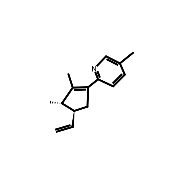 C=C[C@@H]1CC(c2ccc(C)cn2)=C(C)[C@H]1C